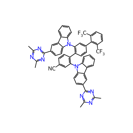 Cc1nc(C)nc(-c2ccc3c(c2)c2ccccc2n3-c2cc(C#N)ccc2-c2ccc(-c3c(C(F)(F)F)cccc3C(F)(F)F)cc2-n2c3ccccc3c3cc(-c4nc(C)nc(C)n4)ccc32)n1